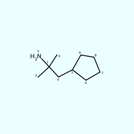 CC(C)(N)CC1CCCC1